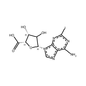 Nc1nc(I)nc2c1ncn2[C@@H]1O[C@H](C(=O)O)[C@H](O)C1O